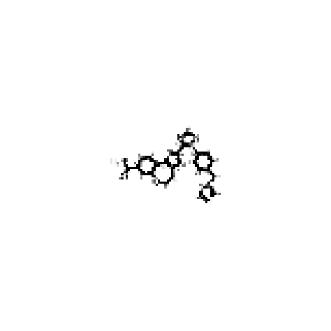 NC(=O)c1ccc2c(c1)OCCc1cc(-c3ncnn3-c3ccc(Cn4cncn4)cc3)sc1-2